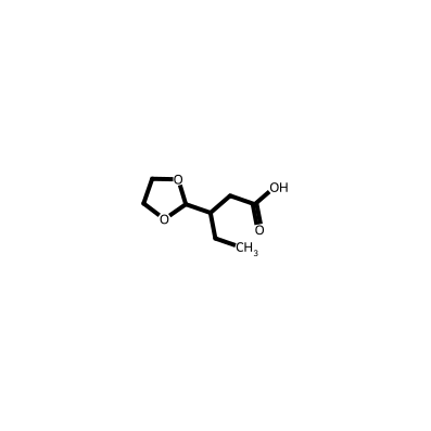 CCC(CC(=O)O)C1OCCO1